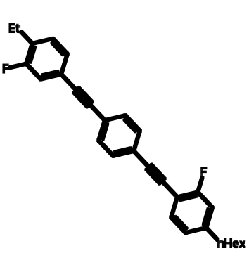 CCCCCCc1ccc(C#Cc2ccc(C#Cc3ccc(CC)c(F)c3)cc2)c(F)c1